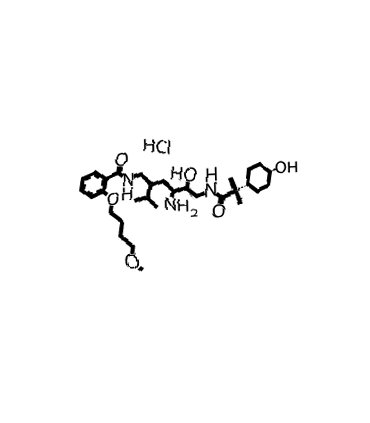 COCCCCOc1ccccc1C(=O)NCC(CC(N)C(O)CNC(=O)C(C)(C)[C@H]1CC[C@@H](O)CC1)C(C)C.Cl